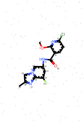 COc1nc(Cl)ccc1C(=O)Nc1cc(F)c2nc(C)cn2c1